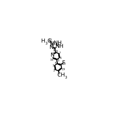 Cc1ccc(-c2ccc(C3=NN(C)NN3)nc2)c(F)c1